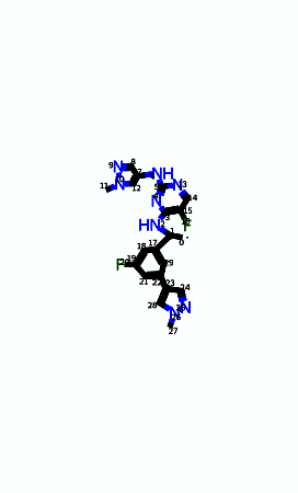 [CH2][C](Nc1nc(Nc2cnn(C)c2)ncc1F)c1cc(F)cc(-c2cnn(C)c2)c1